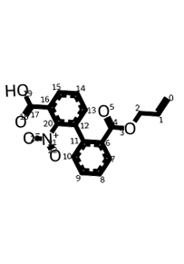 C=CCOC(=O)c1ccccc1-c1cccc(C(=O)O)c1[N+](=O)[O-]